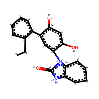 CCc1ccccc1-c1cc(-n2c(=O)[nH]c3ccccc32)c(O)cc1O